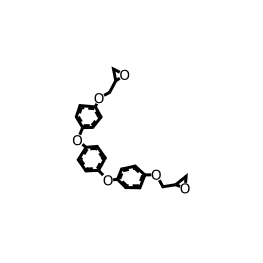 c1cc(Oc2ccc(Oc3ccc(OCC4CO4)cc3)cc2)ccc1OCC1CO1